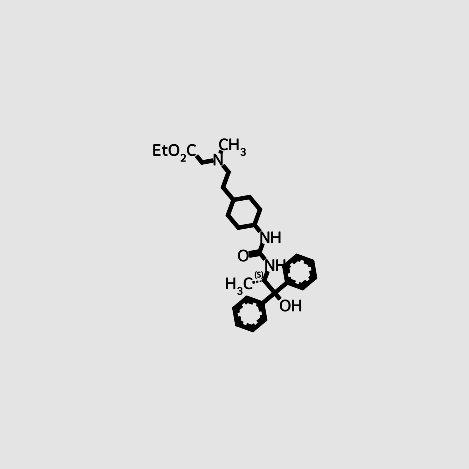 CCOC(=O)CN(C)CCC1CCC(NC(=O)N[C@@H](C)C(O)(c2ccccc2)c2ccccc2)CC1